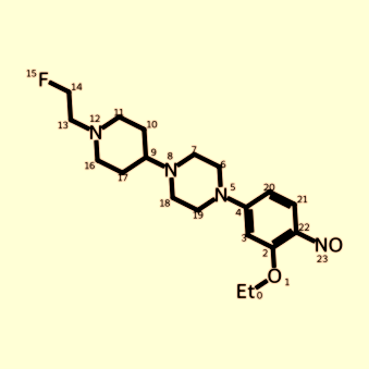 CCOc1cc(N2CCN(C3CCN(CCF)CC3)CC2)ccc1N=O